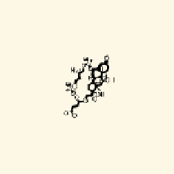 CS(=O)(=O)OCCCCOS(C)(=O)=O.C[C@]12CCC(=O)C=C1CC[C@@H]1[C@@H]2[C@@H](O)C[C@@]2(C)[C@H]1CC[C@]2(O)C(=O)COC(=O)CCC(=O)[O-].[Na+]